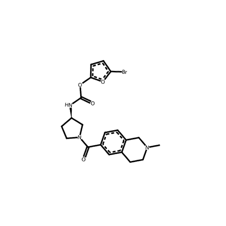 CN1CCc2cc(C(=O)N3CC[C@@H](NC(=O)Oc4ccc(Br)o4)C3)ccc2C1